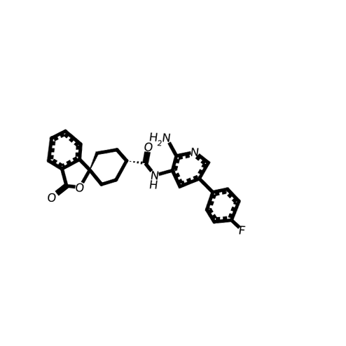 Nc1ncc(-c2ccc(F)cc2)cc1NC(=O)[C@H]1CC[C@@]2(CC1)OC(=O)c1ccccc12